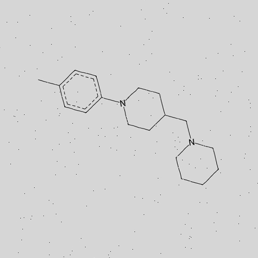 Cc1ccc(N2CCC(CN3CCCCC3)CC2)cc1